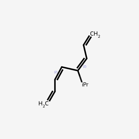 C=C/C=C\C(=C/C=C)C(C)C